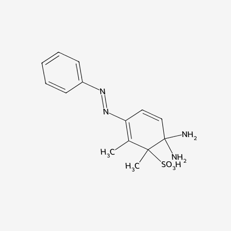 CC1=C(N=Nc2ccccc2)C=CC(N)(N)C1(C)S(=O)(=O)O